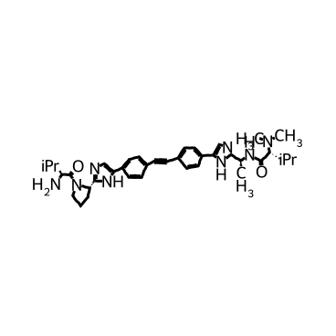 CC(C)[C@H](N)C(=O)N1CCC[C@H]1c1ncc(-c2ccc(C#Cc3ccc(-c4cnc([C@H](C)NC(=O)[C@@H](C(C)C)N(C)C)[nH]4)cc3)cc2)[nH]1